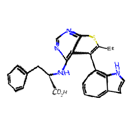 CCc1sc2ncnc(N[C@H](Cc3ccccc3)C(=O)O)c2c1-c1cccc2cc[nH]c12